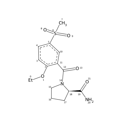 CCOc1ccc(S(C)(=O)=O)cc1C(=O)N1CCC[C@@H]1C(N)=O